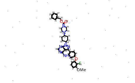 COc1cccc(Oc2ccc(-c3nn(C4CCC(N5CCN(C(=O)OCc6ccccc6)CC5)CC4)c4ncnc(N)c34)cc2)c1F